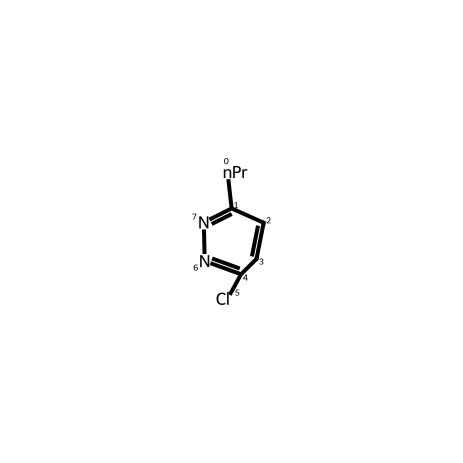 CCCc1ccc(Cl)nn1